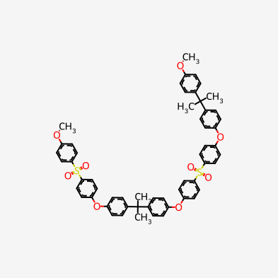 COc1ccc(C(C)(C)c2ccc(Oc3ccc(S(=O)(=O)c4ccc(Oc5ccc(C(C)(C)c6ccc(Oc7ccc(S(=O)(=O)c8ccc(OC)cc8)cc7)cc6)cc5)cc4)cc3)cc2)cc1